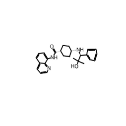 CC(C)(O)[C@@H](N[C@H]1CC[C@@H](C(=O)Nc2cccc3cccnc23)CC1)c1ccccc1